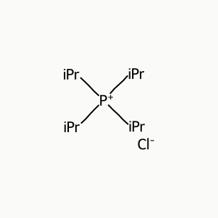 CC(C)[P+](C(C)C)(C(C)C)C(C)C.[Cl-]